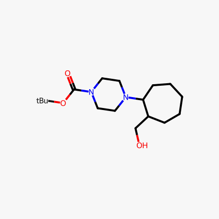 CC(C)(C)OC(=O)N1CCN(C2CCCCCC2CO)CC1